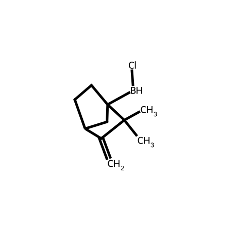 C=C1C2CCC(BCl)(C2)C1(C)C